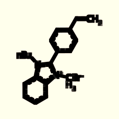 C=Cc1ccc(-c2n(CCCC)c3ccccc3[n+]2C)cc1.[Br-]